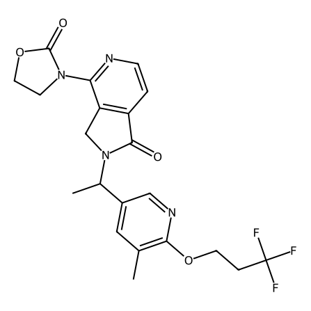 Cc1cc(C(C)N2Cc3c(ccnc3N3CCOC3=O)C2=O)cnc1OCCC(F)(F)F